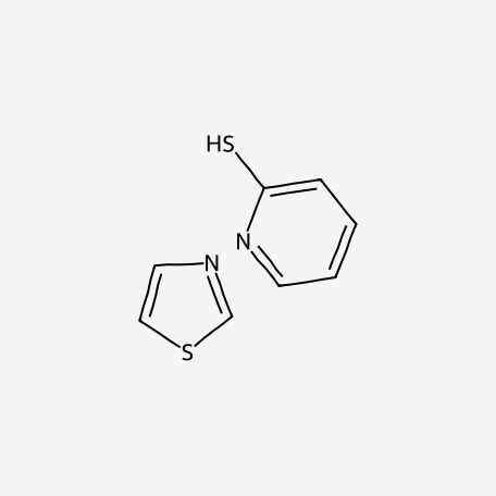 Sc1ccccn1.c1cscn1